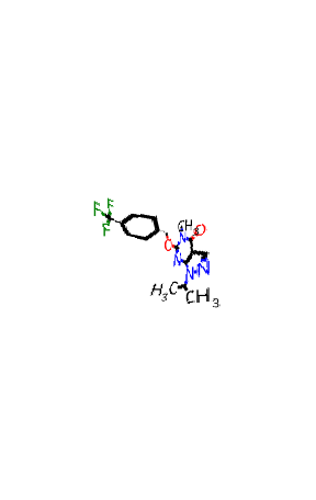 CC(C)n1ncc2c(=O)n(C)c(OC[C@H]3CC[C@H](C(F)(F)F)CC3)nc21